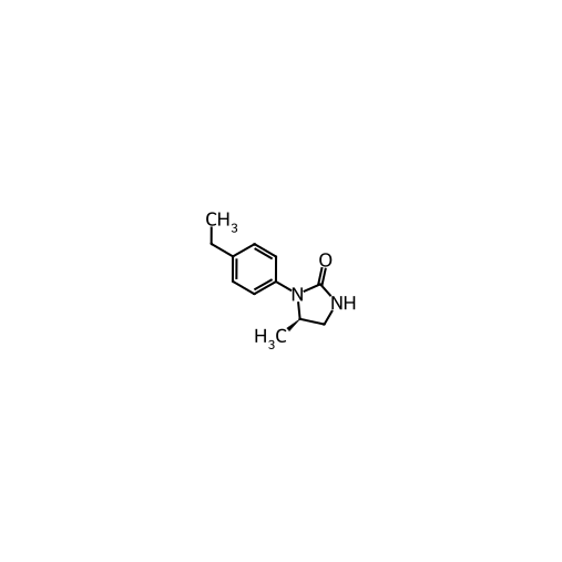 CCc1ccc(N2C(=O)NC[C@H]2C)cc1